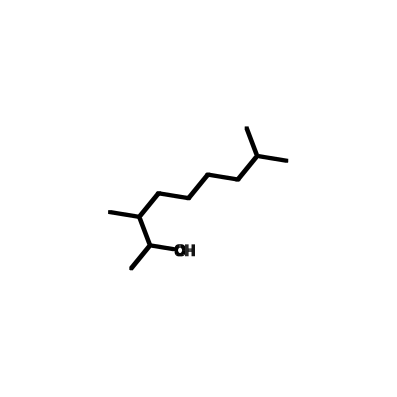 CC(C)CCCCC(C)C(C)O